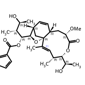 CO[C@H]1C[C@H]2C=C[C@@H]3C[C@]2(O[C@H]3[C@H](OC(=O)c2ccsc2)[C@H](C)[C@H](C)O)/C(C)=C/[C@@H](C)[C@@H]([C@@H](C)O)OC1=O